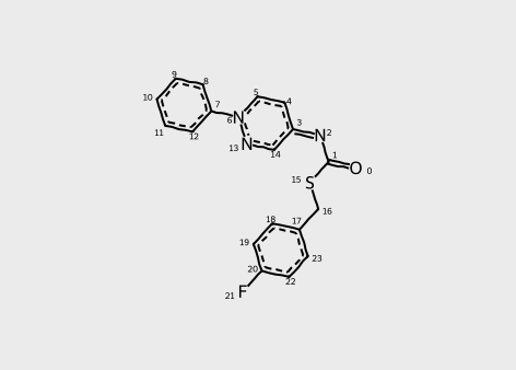 O=C(N=c1ccn(-c2ccccc2)nc1)SCc1ccc(F)cc1